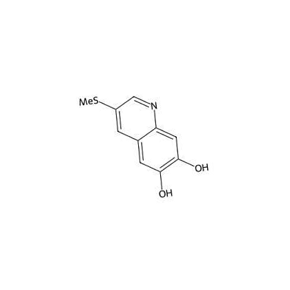 CSc1cnc2cc(O)c(O)cc2c1